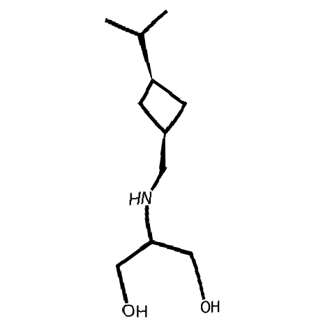 CC(C)[C@H]1C[C@@H](CNC(CO)CO)C1